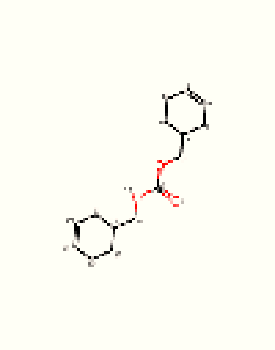 O=C(OCC1CC=CCC1)OCC1CC=CCC1